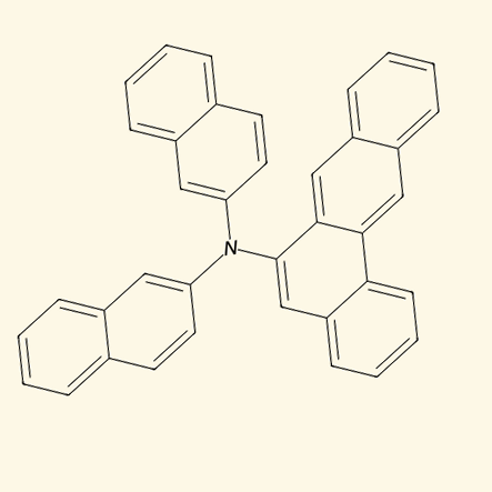 c1ccc2cc(N(c3ccc4ccccc4c3)c3cc4ccccc4c4cc5ccccc5cc34)ccc2c1